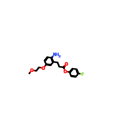 COCCOc1ccc(N)c(CCC(=O)Oc2ccc(F)cc2)c1